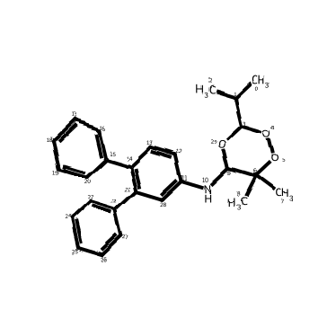 CC(C)C1OOC(C)(C)C(Nc2ccc(-c3ccccc3)c(-c3ccccc3)c2)O1